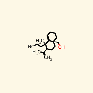 C=C(C)[C@@H]1CC[C@@]2(CO)CCCC=C2[C@@]1(C)CCC#N